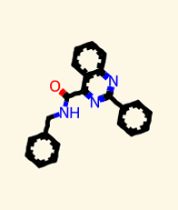 O=C(NCc1ccccc1)c1nc(-c2ccccc2)nc2ccccc12